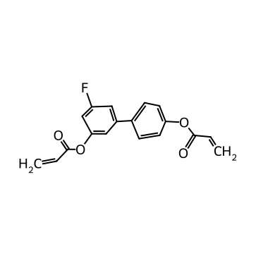 C=CC(=O)Oc1ccc(-c2cc(F)cc(OC(=O)C=C)c2)cc1